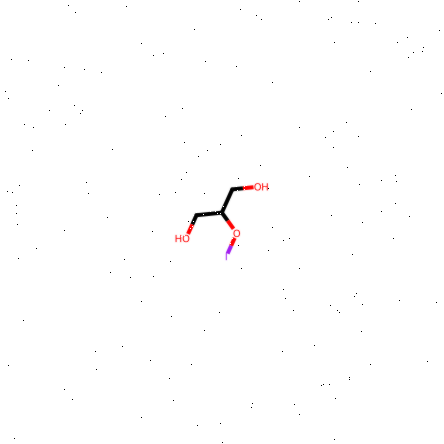 OCC(CO)OI